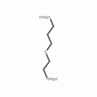 [CH2]CCCCCCCCCSCCCCCCCCC